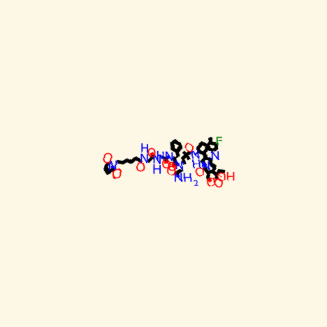 CC[C@@]1(O)C(=O)OCc2c1cc1n(c2=O)Cc2c-1nc1cc(F)c(C)c3c1c2[C@@H](NC(=O)C(C)(C)CCN(CC(N)=O)C(=O)[C@H](Cc1ccccc1)NC(=O)CNC(=O)CNC(=O)CCCCCN1C(=O)C=CC1=O)CC3